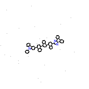 c1ccc(-n2c3ccccc3c3cc(-c4ccc(-c5ccc(-c6ccc(-c7cnc8c9ccccc9c9ccccc9c8n7)c7ccccc67)c6ccccc56)c5ccccc45)ccc32)cc1